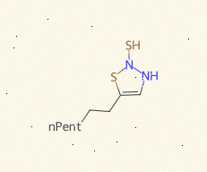 CCCCCCCC1=CNN(S)S1